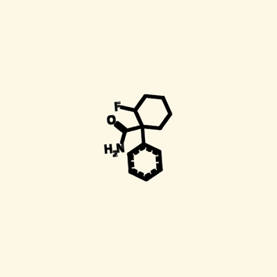 NC(=O)C1(c2ccccc2)CCCCC1F